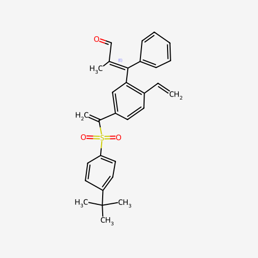 C=Cc1ccc(C(=C)S(=O)(=O)c2ccc(C(C)(C)C)cc2)cc1/C(=C(\C)C=O)c1ccccc1